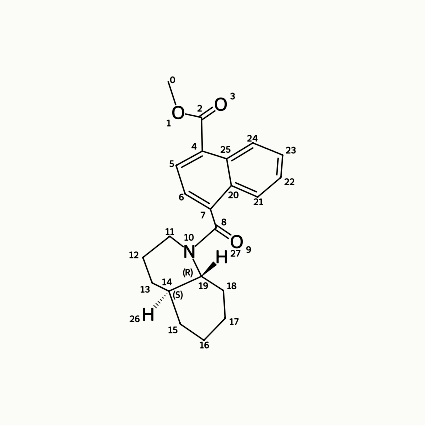 COC(=O)c1ccc(C(=O)N2CCC[C@@H]3CCCC[C@H]32)c2ccccc12